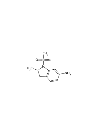 CC1Cc2ccc([N+](=O)[O-])cc2N1S(C)(=O)=O